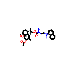 CC(=O)O[C@@H]1[CH][C@@]2(O)[C@H](C)CC[C@H](C(C)COC(=O)NCCNc3cccc4ccccc34)[C@H]2C=C1C